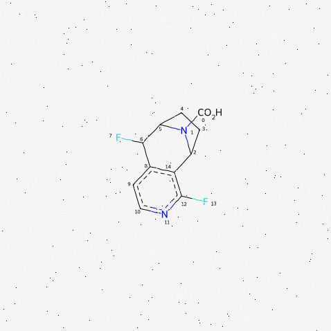 O=C(O)N1C2CCC1C(F)c1ccnc(F)c12